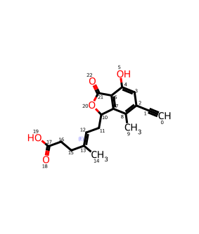 C#Cc1cc(O)c2c(c1C)C(C/C=C(\C)CCC(=O)O)OC2=O